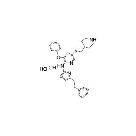 Cl.Cl.c1ccc(CCc2csc(Nc3ncc(SCC4CCNCC4)cc3Oc3ccccc3)n2)cc1